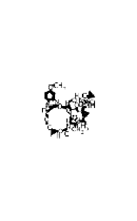 CC[C@@H]1[C@@H]2CN(C(=O)C(C(C)(C)C)NC(=O)O[C@@H]3CC3CCCCC(F)(F)c3nc4ccc(OC)cc4nc3O2)[C@@H]1C(=O)C[C@]1(C(=O)NS(=O)(=O)C2(C)CC2)C[C@H]1C(F)F